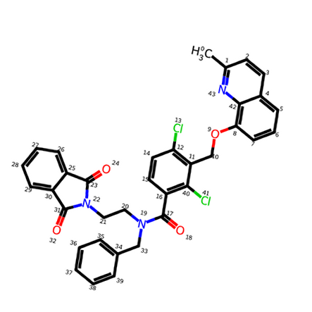 Cc1ccc2cccc(OCc3c(Cl)ccc(C(=O)N(CCN4C(=O)c5ccccc5C4=O)Cc4ccccc4)c3Cl)c2n1